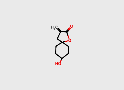 C=C1CC2(CCC(O)CC2)OC1=O